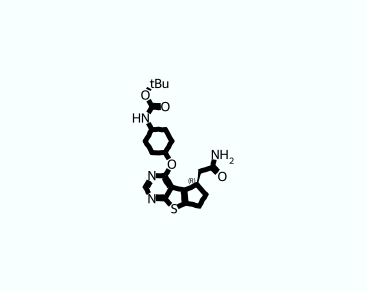 CC(C)(C)OC(=O)NC1CCC(Oc2ncnc3sc4c(c23)[C@@H](CC(N)=O)CC4)CC1